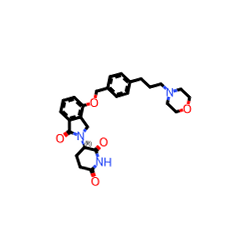 O=C1CC[C@@H](N2Cc3c(OCc4ccc(CCCN5CCOCC5)cc4)cccc3C2=O)C(=O)N1